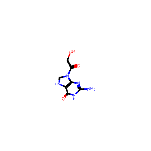 Nc1nc2c(c(=O)[nH]1)NCN2C(=O)CO